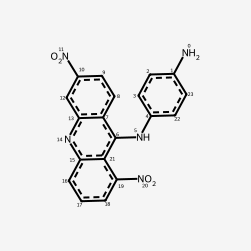 Nc1ccc(Nc2c3ccc([N+](=O)[O-])cc3nc3cccc([N+](=O)[O-])c23)cc1